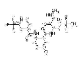 CNC(=O)C(=O)[C@H](CCC(C)(F)F)NC(=O)c1cc(Cl)ccc1NC(=O)c1ccnc(C(F)(F)F)c1